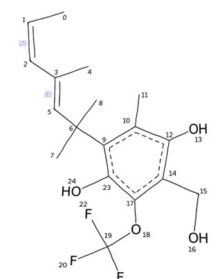 C/C=C\C(C)=C\C(C)(C)c1c(C)c(O)c(CO)c(OC(F)(F)F)c1O